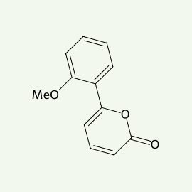 COc1ccccc1-c1cccc(=O)o1